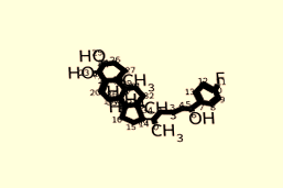 CC(CCCC(O)c1ccc(F)cc1)[C@H]1CC[C@H]2[C@@H]3CC=C4[C@@H](O)[C@@H](O)CC[C@]4(C)[C@H]3CC[C@]12C